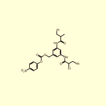 CCC(CC(C)C)C(=O)Nc1cc(COC(=O)Oc2ccc([N+](=O)[O-])cc2)cc(NC(=O)C(C)CC(C)C)c1